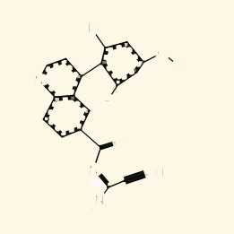 C#C/C(N)=N\C(=O)c1ccc2nccc(-c3c(F)cc(OC)cc3F)c2c1